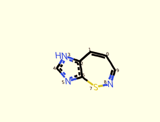 C1=Cc2[nH]cnc2SN=C1